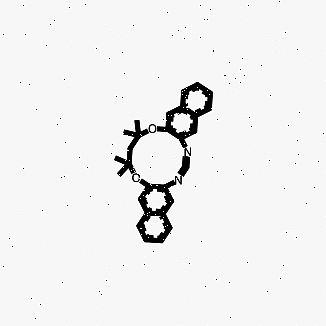 CC1(C)CC(C)(C)Oc2cc3ccccc3cc2N=C=Nc2cc3ccccc3cc2O1